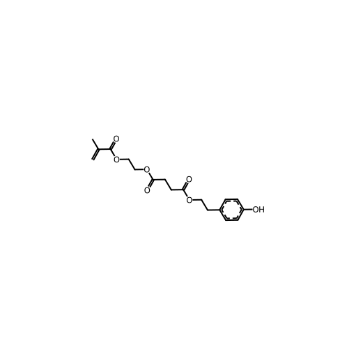 C=C(C)C(=O)OCCOC(=O)CCC(=O)OCCc1ccc(O)cc1